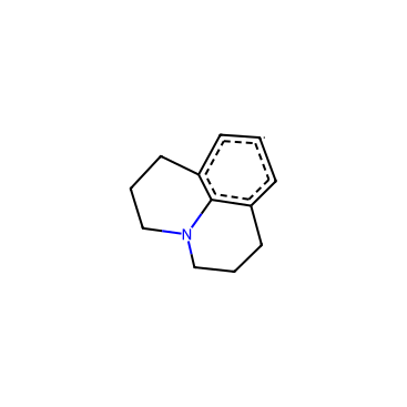 [c]1cc2c3c(c1)CCCN3CCC2